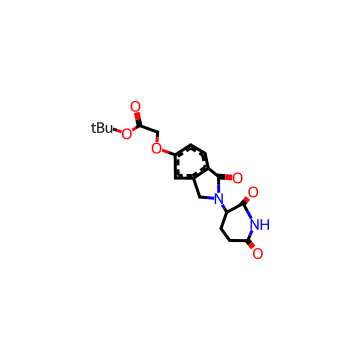 CC(C)(C)OC(=O)COc1ccc2c(c1)CN(C1CCC(=O)NC1=O)C2=O